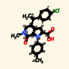 C=C(c1ccc(Cl)cc1)c1cn(C)c(=O)c2c1cc(C(=O)O)n2-c1ccc(C)cc1